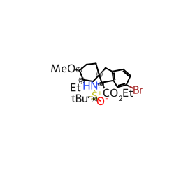 CCOC(=O)[C@]1(N[S@@+]([O-])C(C)(C)C)c2cc(Br)ccc2C[C@@]12CC[C@H](OC)[C@@H](CC)C2